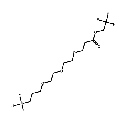 O=C(CCOCCOCCOCCC[Si](Cl)(Cl)Cl)OCC(F)(F)F